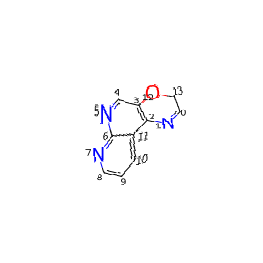 C1=Nc2c(cnc3ncccc23)OC1